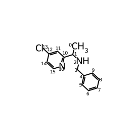 CC(NCc1ccccc1)c1cc(Cl)ccn1